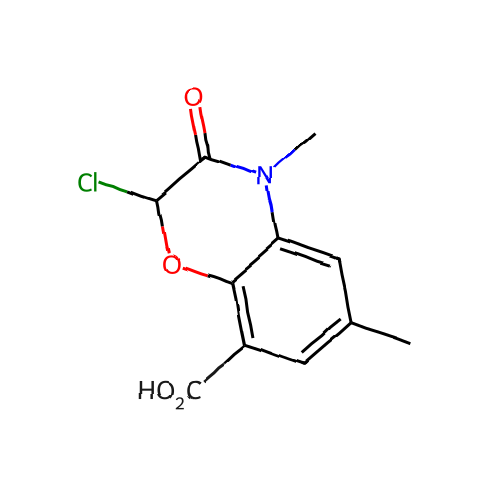 Cc1cc(C(=O)O)c2c(c1)N(C)C(=O)C(Cl)O2